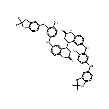 O=C1CC(C2CC(=O)Nc3ccc(Nc4nc(Nc5ccc6c(c5)OC(F)(F)O6)ncc4C(F)(F)F)cc32)c2cc(Nc3ncc(C(F)(F)F)c(Nc4ccc5c(c4)OC(F)(F)O5)n3)ccc2N1